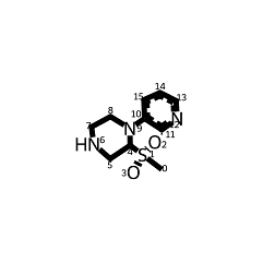 CS(=O)(=O)C1CNCCN1c1[c]nccc1